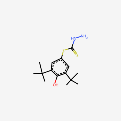 CC(C)(C)c1cc(SC(=S)NN)cc(C(C)(C)C)c1O